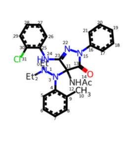 CCN(CC)N(c1ccccc1C)C1(NC(C)=O)C(=O)N(c2ccccc2)N=C1Nc1ccccc1Cl